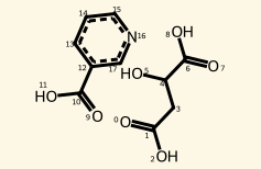 O=C(O)CC(O)C(=O)O.O=C(O)c1cccnc1